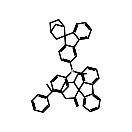 C=C1CC(CC)CC(CC)C12c1ccccc1-c1cccc(N(c3ccc(-c4ccccc4)cc3)c3ccc4c(c3)-c3ccccc3C43CC4CCC3C4)c12